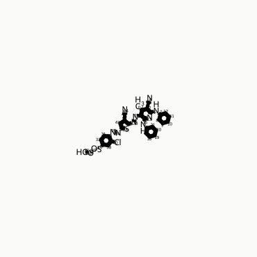 Cc1c(C#N)c(Nc2ccccc2)nc(Nc2ccccc2)c1N=Nc1sc(N=Nc2ccc(SOOO)cc2Cl)cc1C#N